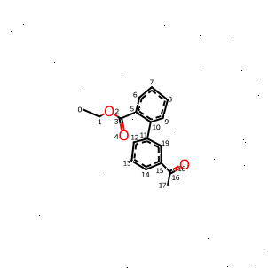 CCOC(=O)c1ccccc1-c1cccc(C(C)=O)c1